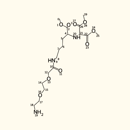 COC(=O)C(CCCCNC(=O)COCCOCCN)NC(C(=O)OC)C(=O)OC